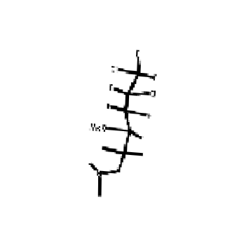 COC(C)(C(C)(C)CN(C)C)C(F)(F)C(F)(Cl)C(F)(F)Cl